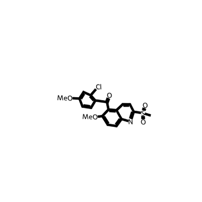 COc1ccc(C(=O)c2c(OC)ccc3nc(S(C)(=O)=O)ccc23)c(Cl)c1